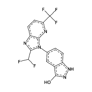 Oc1n[nH]c2ccc(-n3c(C(F)F)nc4ccc(C(F)(F)F)nc43)cc12